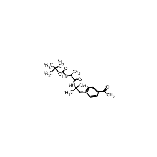 CC(=O)c1ccc(CC(C)(C)NC(=O)[C@H](C)NC(=O)OC(C)(C)C)cc1